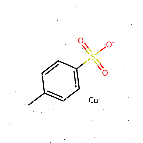 Cc1ccc(S(=O)(=O)[O-])cc1.[Cu+]